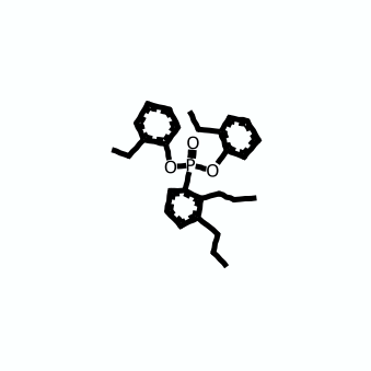 CCCc1cccc(P(=O)(Oc2ccccc2CC)Oc2ccccc2CC)c1CCC